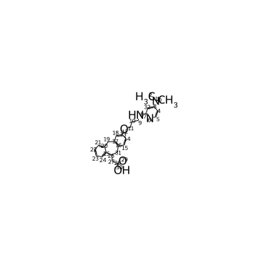 CN(C)c1ccnc(NCCCOc2ccc3c(c2)Cc2ccccc2C(CC(=O)O)C3)c1